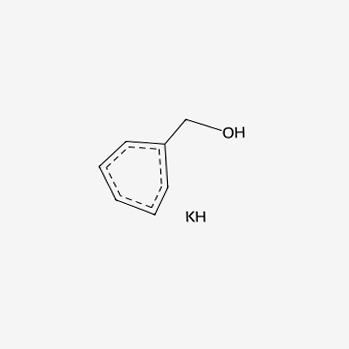 OCc1ccccc1.[KH]